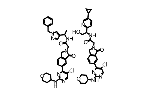 CC(NC(=O)CN1Cc2ccc(-c3nc(NC4CCOCC4)ncc3Cl)cc2C1=O)c1cnn(Cc2ccccc2)c1.O=C(CN1Cc2ccc(-c3nc(NC4CCOCC4)ncc3Cl)cc2C1=O)NC(CO)c1ccc(C2CC2)cn1